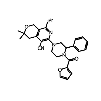 CC(C)c1nc(N2CCN(C(=O)c3ccco3)C(c3ccccc3)C2)c(C#N)c2c1COC(C)(C)C2